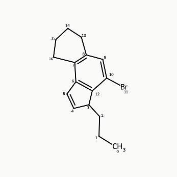 CCCC1C=Cc2c3c(cc(Br)c21)CCCC3